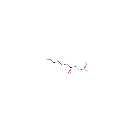 CCCCCCC(=O)CCC(C)=O